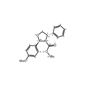 COc1ccc([C@H]2OC[C@H](c3ccccc3)N2C(=O)OC(C)(C)C)cc1